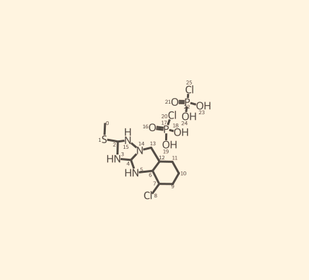 CSC1NC2NC3C(Cl)CCCC3CN2N1.O=P(O)(O)Cl.O=P(O)(O)Cl